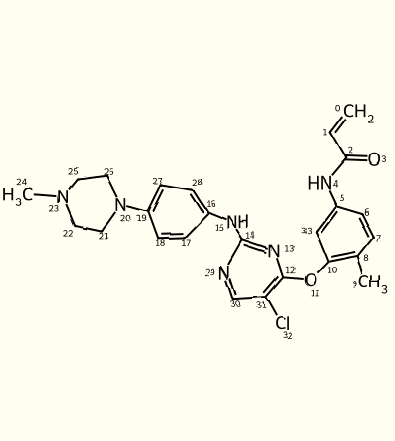 C=CC(=O)Nc1ccc(C)c(Oc2nc(Nc3ccc(N4CCN(C)CC4)cc3)ncc2Cl)c1